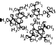 C=C(C)C(=O)OCC(OC(=O)C(=C)C)C(COCCC(OC(=O)C(=C)C)C(COC(=O)C(=C)C)OC(=O)C(=C)C)COCCC(OC(=O)C(=C)C)C(COC(=O)C(=C)C)OC(=O)C(=C)C